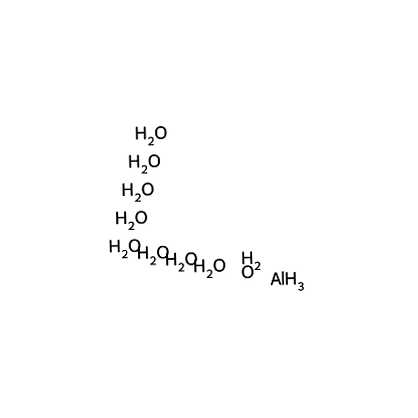 O.O.O.O.O.O.O.O.O.[AlH3]